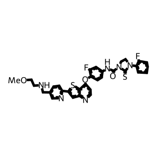 COCCNCc1ccc(-c2cc3nccc(Oc4ccc(NC(=O)N5CCN(c6ccccc6F)C5=S)cc4F)c3s2)nc1